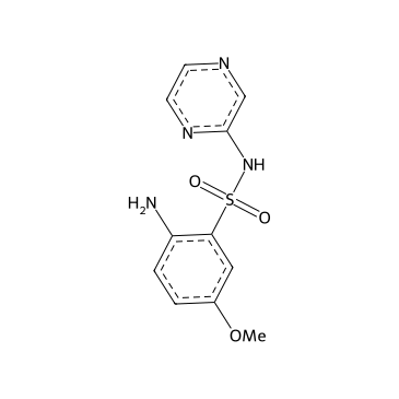 COc1ccc(N)c(S(=O)(=O)Nc2cnccn2)c1